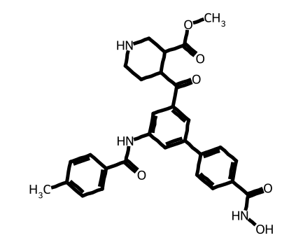 COC(=O)C1CNCCC1C(=O)c1cc(NC(=O)c2ccc(C)cc2)cc(-c2ccc(C(=O)NO)cc2)c1